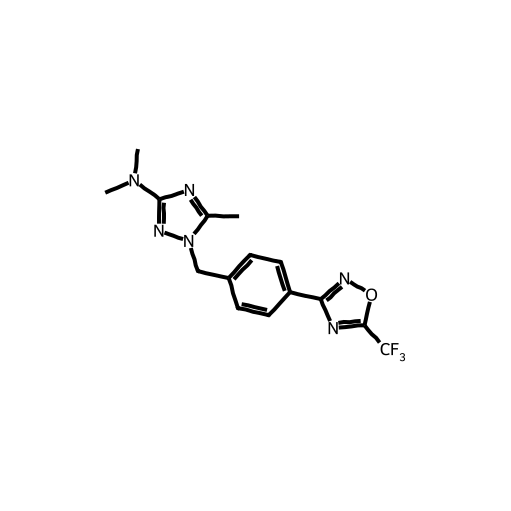 Cc1nc(N(C)C)nn1Cc1ccc(-c2noc(C(F)(F)F)n2)cc1